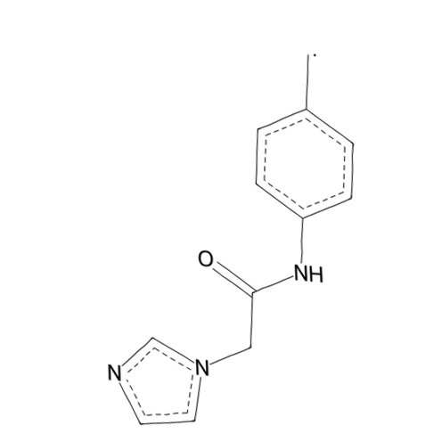 [CH2]c1ccc(NC(=O)Cn2ccnc2)cc1